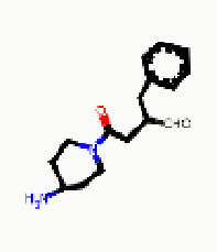 NC1CCN(C(=O)CC(C=O)Cc2ccccc2)CC1